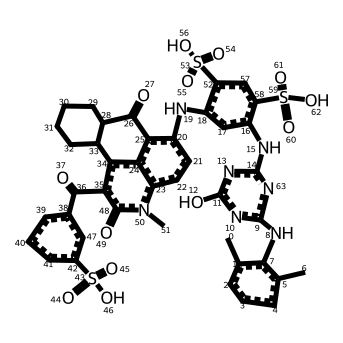 Cc1cccc(C)c1Nc1nc(O)nc(Nc2cc(Nc3ccc4c5c3C(=O)C3CCCCC3c5c(C(=O)c3cccc(S(=O)(=O)O)c3)c(=O)n4C)c(S(=O)(=O)O)cc2S(=O)(=O)O)n1